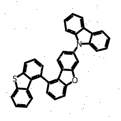 c1cc(-c2cccc3sc4ccccc4c23)c2c(c1)oc1cc(-n3c4ccccc4c4ccccc43)ccc12